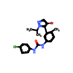 Cc1ccc(NC(=O)Nc2ccc(Cl)cc2)cc1-c1c(Br)cnn1C(C)C